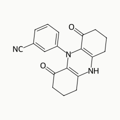 N#Cc1cccc(N2C3=C(CCCC3=O)NC3=C2C(=O)CCC3)c1